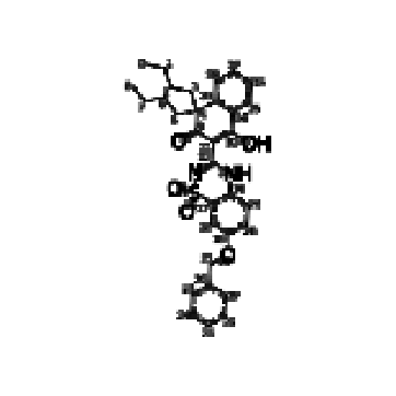 CCCCC1(CCCC)C(=O)C(C2=NS(=O)(=O)c3cc(OCc4ccccc4)ccc3N2)=C(O)c2ccccc21